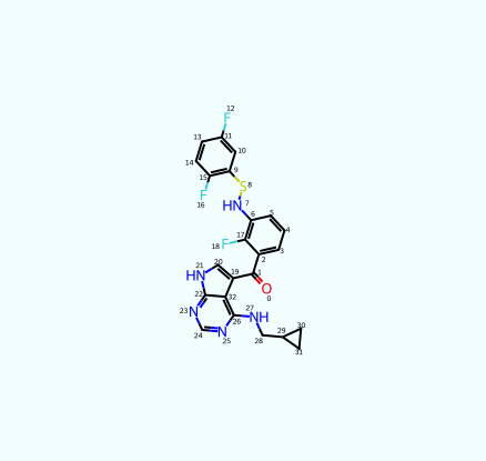 O=C(c1cccc(NSc2cc(F)ccc2F)c1F)c1c[nH]c2ncnc(NCC3CC3)c12